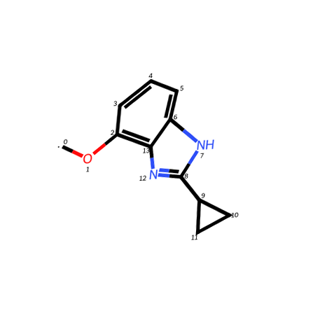 [CH2]Oc1cccc2[nH]c(C3CC3)nc12